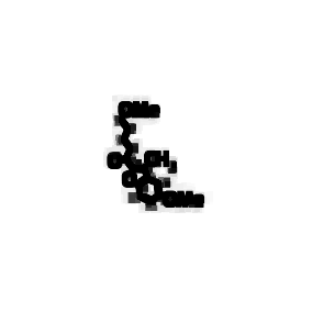 COCCCCC(=O)c1oc2ccc(OC)cc2c1C